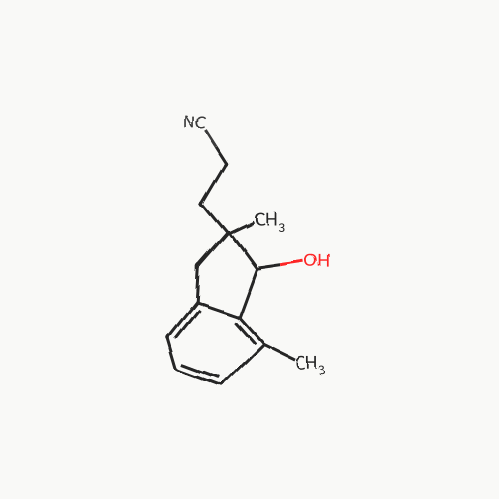 Cc1cccc2c1C(O)C(C)(CCC#N)C2